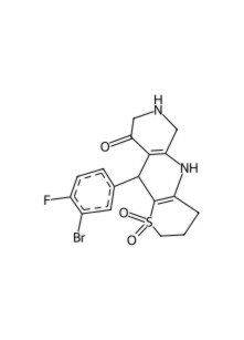 O=C1CNCC2=C1C(c1ccc(F)c(Br)c1)C1=C(CCCS1(=O)=O)N2